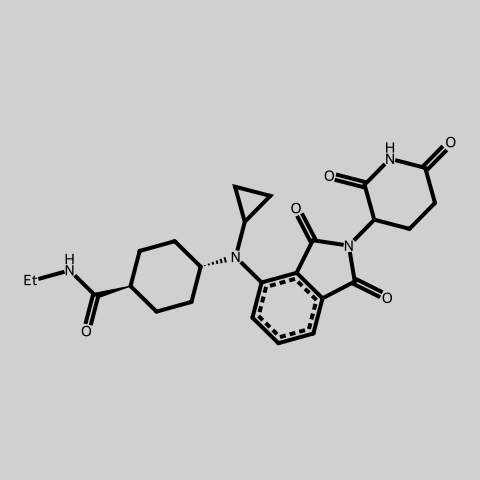 CCNC(=O)[C@H]1CC[C@H](N(c2cccc3c2C(=O)N(C2CCC(=O)NC2=O)C3=O)C2CC2)CC1